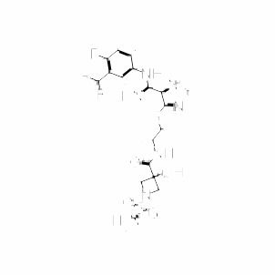 N=C(Nc1ccc(F)c(C(F)F)c1)c1nonc1SCCNC(=O)C1(O)CN(S(N)(=O)=O)C1